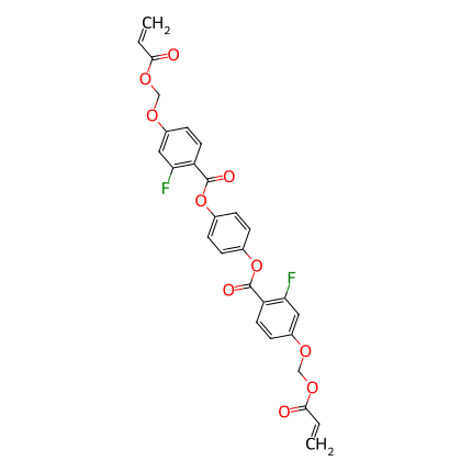 C=CC(=O)OCOc1ccc(C(=O)Oc2ccc(OC(=O)c3ccc(OCOC(=O)C=C)cc3F)cc2)c(F)c1